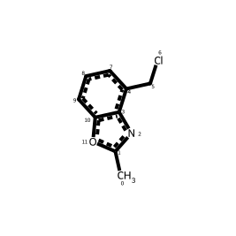 Cc1nc2c(CCl)cccc2o1